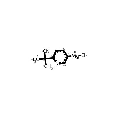 CC(C)(C#N)c1cc[c]([Mg][Cl])cn1